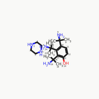 C1CNCCN1.CC(C)(N)c1ccc(O)c(C(C)(C)N)c1C(C)(C)N